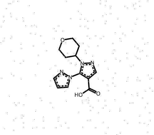 O=C(O)c1cnn(C2CCOCC2)c1-n1cccn1